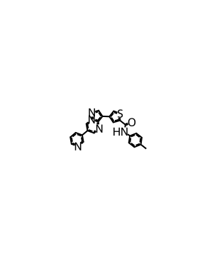 Cc1ccc(NC(=O)c2cc(-c3cnn4cc(-c5cccnc5)cnc34)cs2)cc1